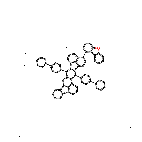 c1ccc(-c2ccc(-c3c4cc5c6ccccc6c6cccc(c4c(-c4ccc(-c7ccccc7)cc4)c4c7ccc(-c8cccc9oc%10ccccc%10c89)c8cccc(c34)c87)c65)cc2)cc1